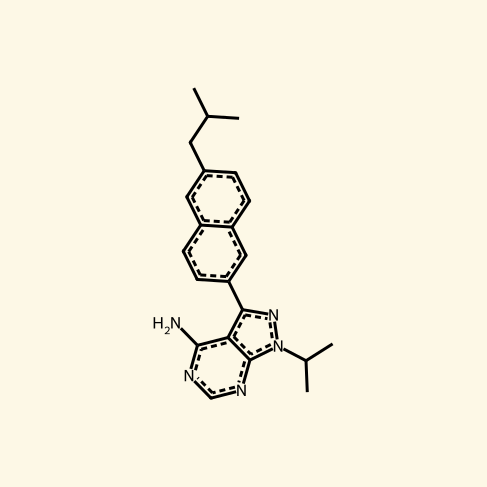 CC(C)Cc1ccc2cc(-c3nn(C(C)C)c4ncnc(N)c34)ccc2c1